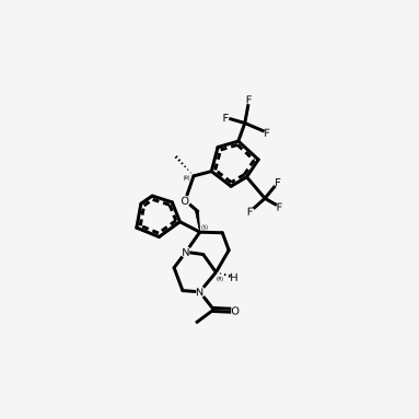 CC(=O)N1CCN2C[C@H]1CC[C@@]2(CO[C@H](C)c1cc(C(F)(F)F)cc(C(F)(F)F)c1)c1ccccc1